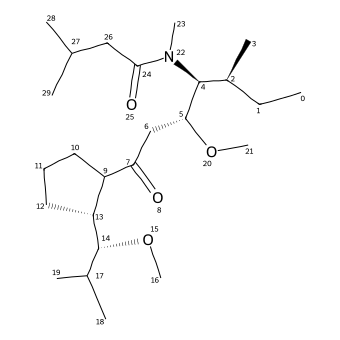 CC[C@H](C)[C@@H]([C@@H](CC(=O)C1CCC[C@H]1[C@H](OC)C(C)C)OC)N(C)C(=O)CC(C)C